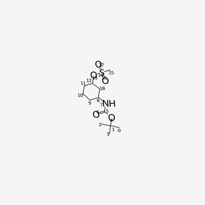 CC(C)(C)OC(=O)NC1CCCC(OS(C)(=O)=O)C1